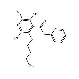 CCCCOc1c(N)nc(Br)c(C)c1C(=O)Oc1ccccc1